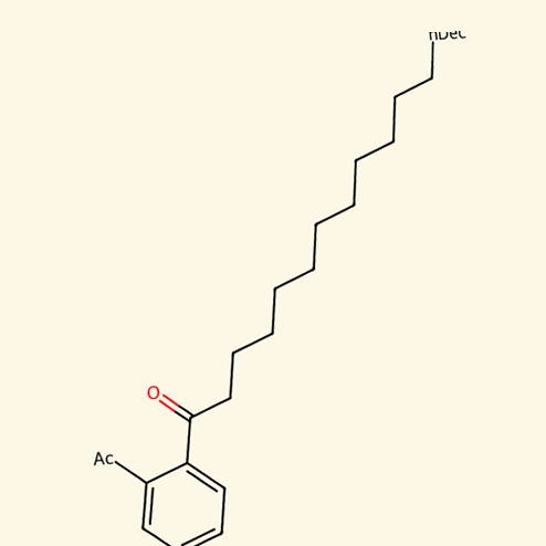 CCCCCCCCCCCCCCCCCCCCCC(=O)c1ccccc1C(C)=O